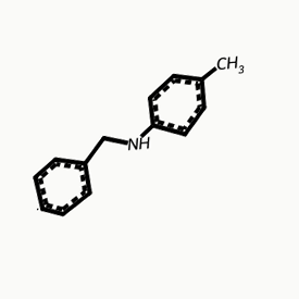 Cc1ccc(NCc2cc[c]cc2)cc1